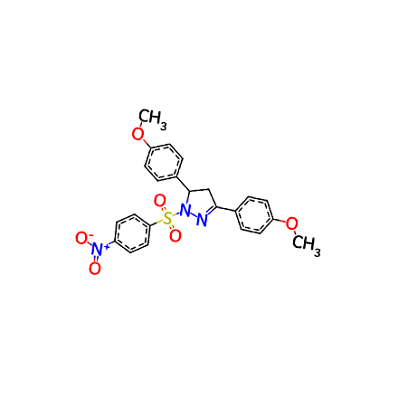 COc1ccc(C2=NN(S(=O)(=O)c3ccc([N+](=O)[O-])cc3)C(c3ccc(OC)cc3)C2)cc1